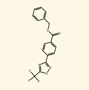 O=C(OCc1ccccc1)c1ccc(-c2noc(C(F)(F)F)n2)cc1